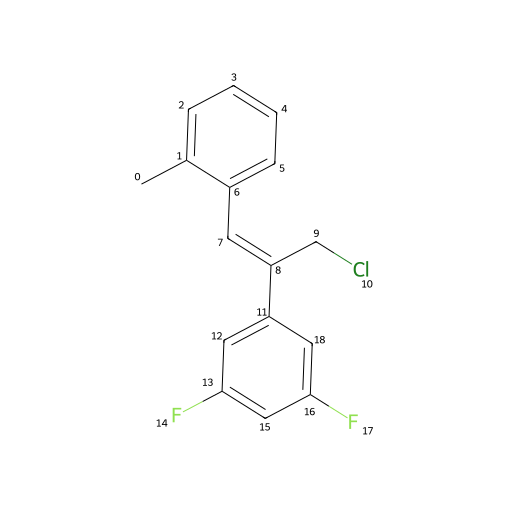 Cc1ccccc1C=C(CCl)c1cc(F)cc(F)c1